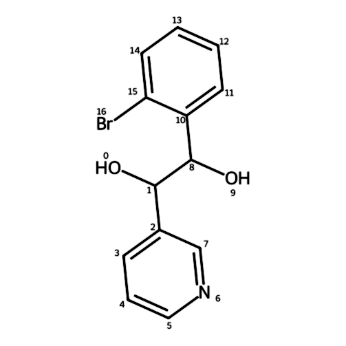 OC(c1cccnc1)C(O)c1ccccc1Br